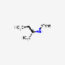 CCCCCN[C@@H](CC(=O)O)C(=O)O